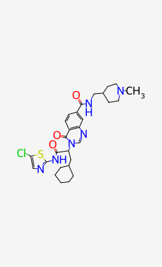 CN1CCC(CNC(=O)c2ccc3c(=O)n(C(CC4CCCCC4)C(=O)Nc4ncc(Cl)s4)cnc3c2)CC1